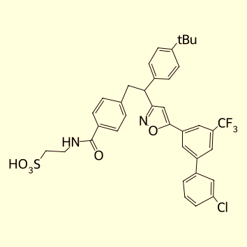 CC(C)(C)c1ccc(C(Cc2ccc(C(=O)NCCS(=O)(=O)O)cc2)c2cc(-c3cc(-c4cccc(Cl)c4)cc(C(F)(F)F)c3)on2)cc1